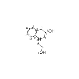 OCCN1[CH]C(O)Cc2ccccc21